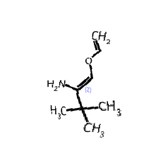 C=CO/C=C(\N)C(C)(C)C